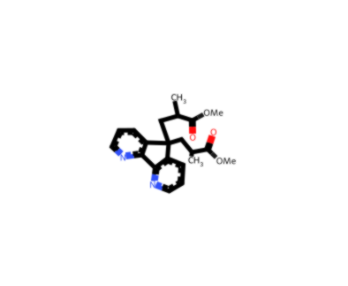 COC(=O)C(C)CC1(CC(C)C(=O)OC)c2cccnc2-c2ncccc21